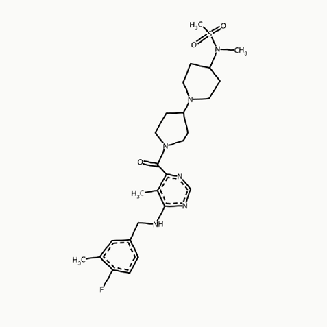 Cc1cc(CNc2ncnc(C(=O)N3CCC(N4CCC(N(C)S(C)(=O)=O)CC4)CC3)c2C)ccc1F